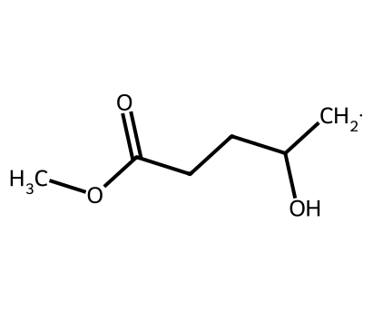 [CH2]C(O)CCC(=O)OC